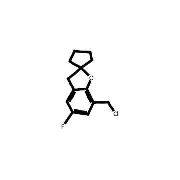 Fc1cc(CCl)c2c(c1)CC1(CCCC1)O2